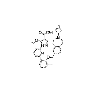 CCOc1c(C(=O)O)cnn1-c1cccc(-c2cccc(C)c2OCc2ccc3c(c2)CCN(C2COC2)CC3)n1